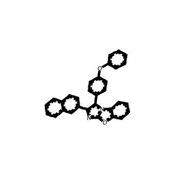 c1ccc(Oc2ccc(-c3c(-c4ccc5ccccc5c4)nc4oc5ccccc5n34)cc2)cc1